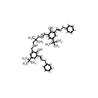 CC(C)(CNCc1cc(C(C)(C)C)cc(/C=N/Cc2ccccc2)c1O)CNCc1cc(C(C)(C)C)cc(/C=N/Cc2ccccc2)c1O